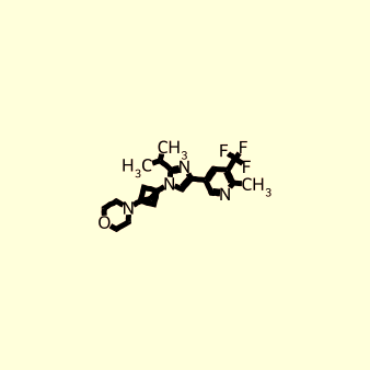 Cc1ncc(-c2cn(C34CC(N5CCOCC5)(C3)C4)c(C(C)C)n2)cc1C(F)(F)F